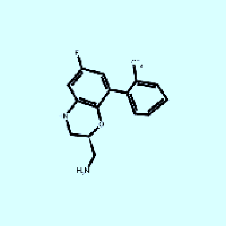 NC[C@H]1CNc2cc(F)cc(-c3ccccc3C(F)(F)F)c2O1